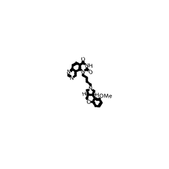 COc1cccc2c1[C@@H]1CN(CCCCn3c(=O)[nH]c(=O)c4ccc5ncncc5c43)C[C@@H]1CO2